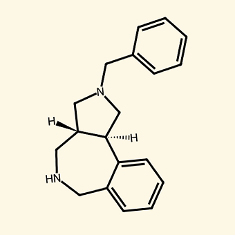 c1ccc(CN2C[C@H]3CNCc4ccccc4[C@@H]3C2)cc1